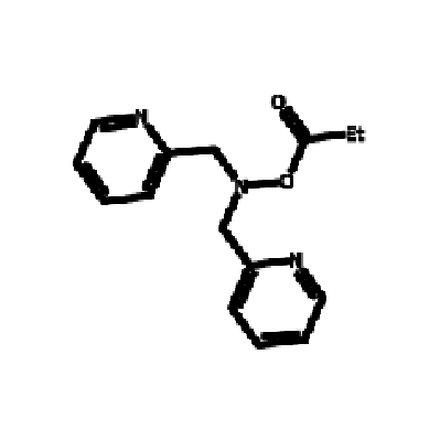 CCC(=O)ON(Cc1ccccn1)Cc1ccccn1